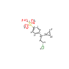 O=S(=O)(O)c1ccc(C(CCCl)C2CC2)cc1